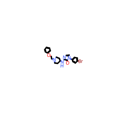 O=c1c(NC2CCN(CCOc3ccccc3)CC2)nccn1-c1ccc(Br)cc1